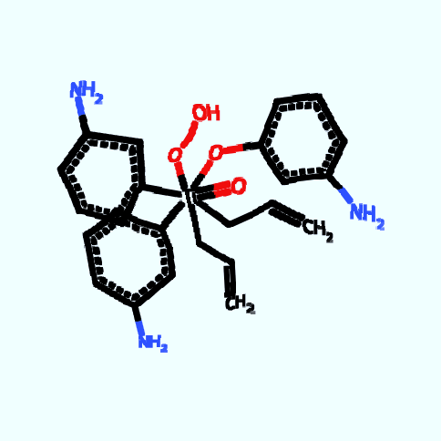 C=C[CH2][Ti](=[O])([CH2]C=C)([O]O)([O]c1cccc(N)c1)([c]1cccc(N)c1)[c]1cccc(N)c1